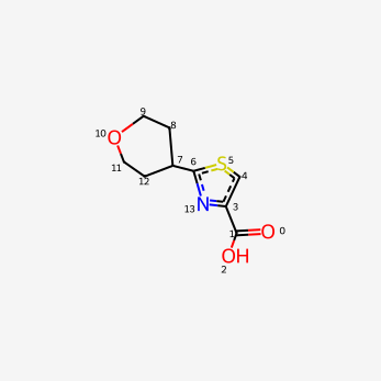 O=C(O)c1csc(C2CCOCC2)n1